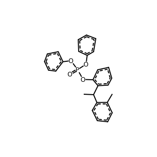 Cc1ccccc1C(C)c1ccccc1OP(=O)(Oc1ccccc1)Oc1ccccc1